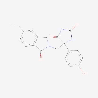 COc1ccc2c(c1)CN(CC1(c3ccc(O)cc3)NC(=O)NC1=O)C2=O